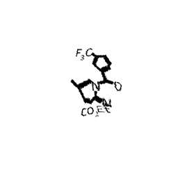 CCOC(=O)N=c1ccc(C)cn1C(=O)c1cccc(C(F)(F)F)c1